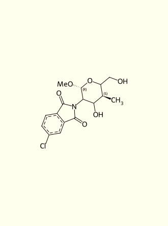 CO[C@@H]1OC(CO)[C@@H](C)C(O)C1N1C(=O)c2ccc(Cl)cc2C1=O